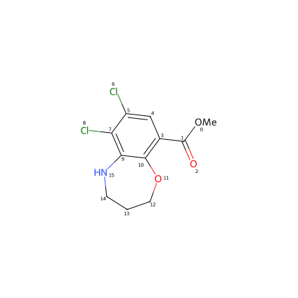 COC(=O)c1cc(Cl)c(Cl)c2c1OCCCN2